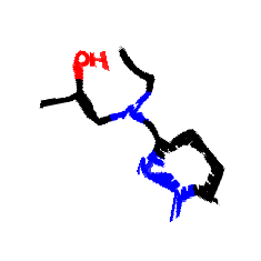 CCN(CC(C)O)c1cc[c]nn1